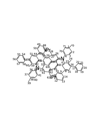 Cc1ccc(N(c2cc(-c3ccccc3)cc(-c3ccccc3)c2C)c2cc(C(C)C)c3ccc4c(N(c5ccc(C)cc5)c5cc(-c6ccccc6)cc(-c6ccccc6)c5C)cc(C(C)C)c5ccc2c3c54)cc1